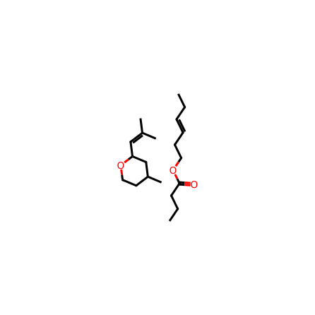 CC(C)=CC1CC(C)CCO1.CCC=CCCOC(=O)CCC